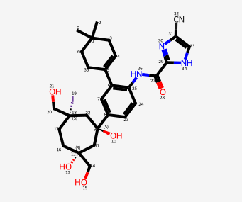 CC1(C)CC=C(c2cc([C@]3(O)C[C@@](O)(CO)CC[C@@](I)(CO)C3)ccc2NC(=O)c2nc(C#N)c[nH]2)CC1